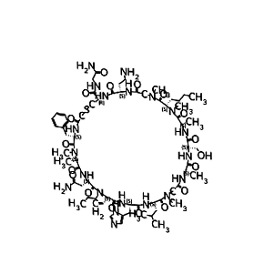 C=C[C@H]1C(=O)N[C@@H](Cc2cnc[nH]2)C(=O)N[C@@H](CC(C)C)C(=O)N(C)CC(=O)N[C@@H](C)C(=O)N[C@@H](CO)C(=O)N[C@@H](C)C(=O)N(C)[C@@H](CCCC)C(=O)N(C)CC(=O)N[C@@H](CCN)C(=O)N[C@H](C(=O)NCC(N)=O)CSCC(=O)N[C@@H](Cc2ccccc2)C(=O)N(C)[C@@H](C)C(=O)N[C@@H](CC(N)=O)C(=O)N1CCC